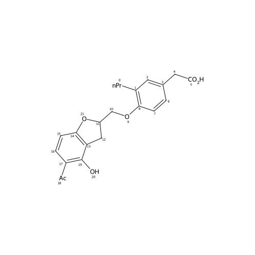 CCCc1cc(CC(=O)O)ccc1OCC1Cc2c(ccc(C(C)=O)c2O)O1